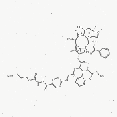 CSSCCOC(=O)NNC(=O)c1ccc(OCC(=O)O[C@@H](C(=O)O[C@H]2C[C@@]3(O)[C@@H](OC(=O)c4ccccc4)[C@@H]4[C@]5(OC(C)=O)CO[C@@H]5C[C@H](O)[C@@]4(C)C(=O)[C@H](O)C(=C2C)C3(C)C)[C@@H](NC(=O)OC(C)(C)C)c2ccccc2)cc1